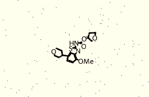 COc1ccc(C2CCOCC2)c2sc(NC(=O)O[C@H]3CCOC3)nc12